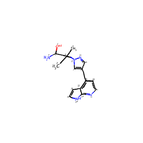 CC(C)(C(N)O)n1cc(-c2ccnc3[nH]ccc23)cn1